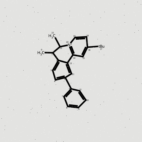 CC1c2ccc(-c3ccccc3)cc2-c2cc(C(C)(C)C)cc[n+]2C1C